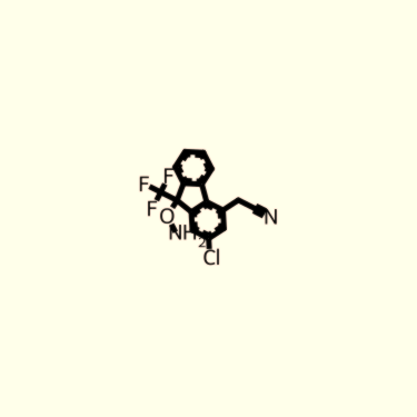 N#CCc1cc(Cl)cc2c1-c1ccccc1C2(ON)C(F)(F)F